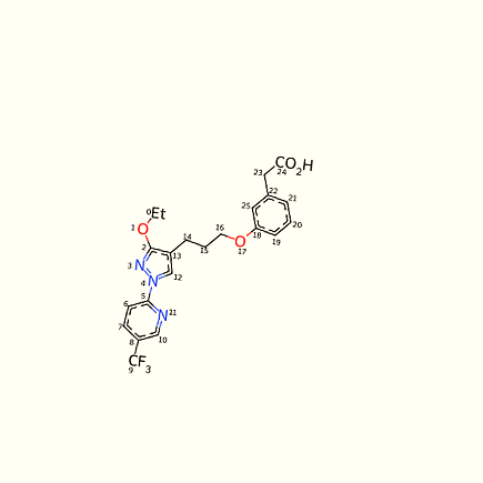 CCOc1nn(-c2ccc(C(F)(F)F)cn2)cc1CCCOc1cccc(CC(=O)O)c1